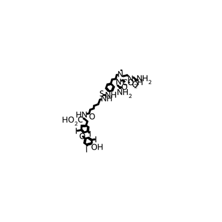 CN(CCN(C)CC(Cc1ccc(NC(=S)NCCCCCC(=O)NC(Cc2cc(I)c(Oc3cc(I)c(O)c(I)c3)c(I)c2)C(=O)O)cc1)N(CC(N)=O)CC(=O)O)CC(N)=O